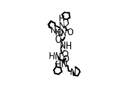 O=C(CNC(=O)[C@H](CC1CCCCC1)NC(=O)c1ccccn1)NCC(=O)N[C@@H](CC1CCCCC1)C(=O)NCCN1CCCCC1